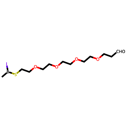 CB(I)SCCOCCOCCOCCOCCC=O